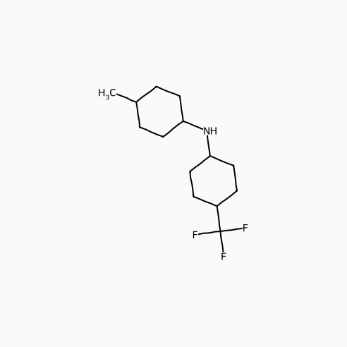 CC1CCC(NC2CCC(C(F)(F)F)CC2)CC1